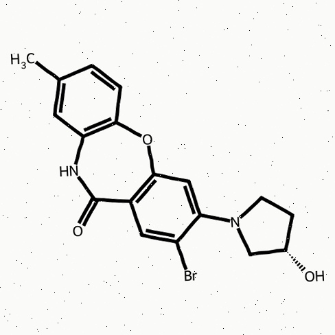 Cc1ccc2c(c1)NC(=O)c1cc(Br)c(N3CC[C@H](O)C3)cc1O2